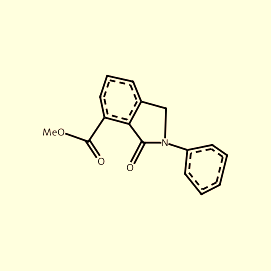 COC(=O)c1cccc2c1C(=O)N(c1ccccc1)C2